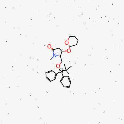 CN1C(=O)C[C@@H](OC2CCCCO2)C1CO[Si](c1ccccc1)(c1ccccc1)C(C)(C)C